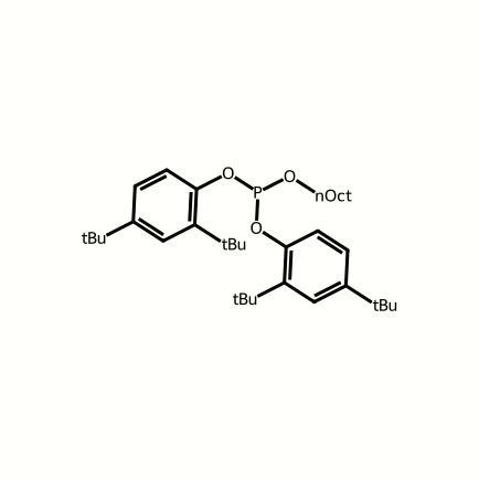 CCCCCCCCOP(Oc1ccc(C(C)(C)C)cc1C(C)(C)C)Oc1ccc(C(C)(C)C)cc1C(C)(C)C